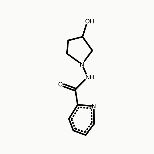 O=C(NN1CCC(O)C1)c1ccccn1